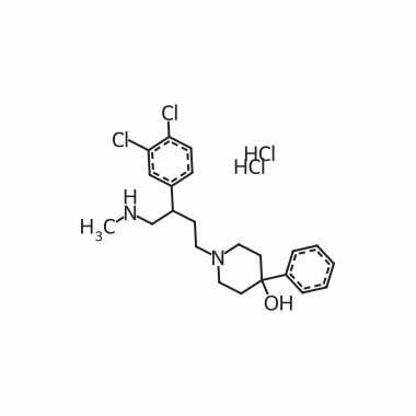 CNCC(CCN1CCC(O)(c2ccccc2)CC1)c1ccc(Cl)c(Cl)c1.Cl.Cl